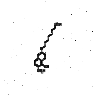 CCCCCCCCCCCCCCCCCOc1ccc2c(O)c(C(=O)O)ccc2c1